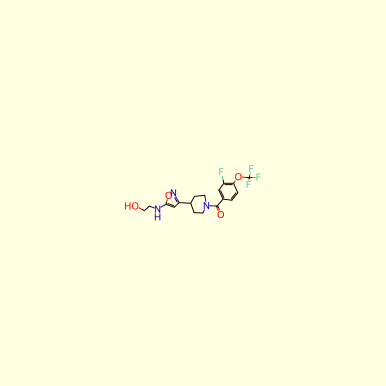 O=C(c1ccc(OC(F)(F)F)c(F)c1)N1CCC(c2cc(NCCO)on2)CC1